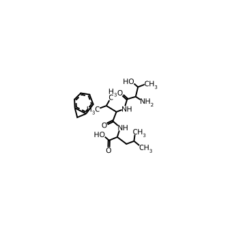 CC(C)CC(NC(=O)C(NC(=O)C(N)C(C)O)C(C)C)C(=O)O.c1ccc2c(c1)C2